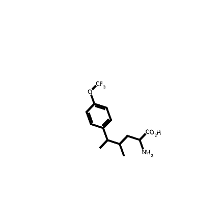 CC(CC(N)C(=O)O)C(C)c1ccc(OC(F)(F)F)cc1